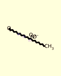 CCCCCCCC/C(=C/C/C=C/C/C=C/CCC[C]=O)[N+](=O)[O-]